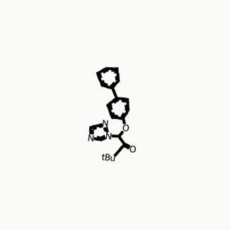 CC(C)(C)C(=O)C(Oc1ccc(-c2ccccc2)cc1)n1cncn1